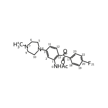 CC(=O)Nc1cc(N2CCN(C)CC2)ccc1S(=O)(=O)c1ccc(F)cc1